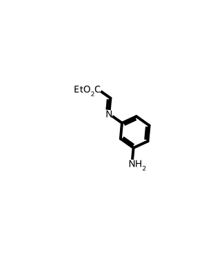 CCOC(=O)C=Nc1cccc(N)c1